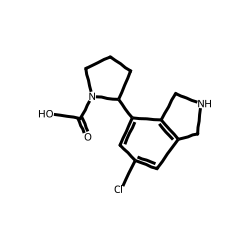 O=C(O)N1CCCC1c1cc(Cl)cc2c1CNC2